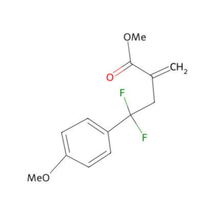 C=C(CC(F)(F)c1ccc(OC)cc1)C(=O)OC